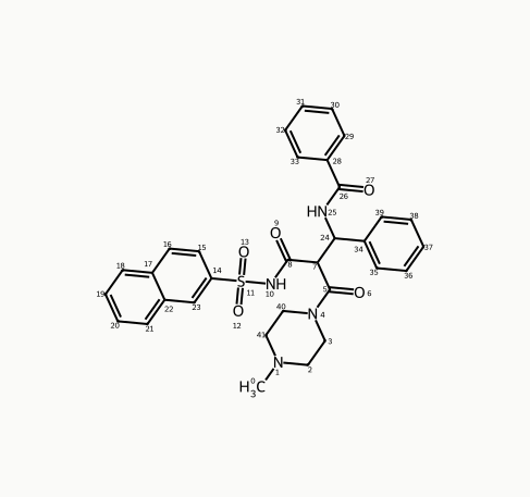 CN1CCN(C(=O)C(C(=O)NS(=O)(=O)c2ccc3ccccc3c2)C(NC(=O)c2ccccc2)c2ccccc2)CC1